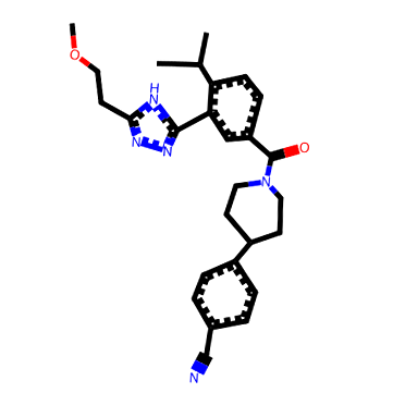 COCCc1nnc(-c2cc(C(=O)N3CCC(c4ccc(C#N)cc4)CC3)ccc2C(C)C)[nH]1